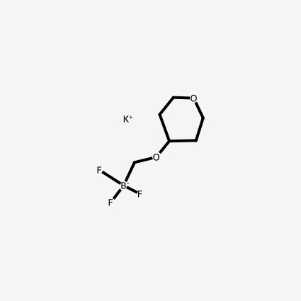 F[B-](F)(F)COC1CCOCC1.[K+]